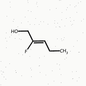 CCC=C(F)CO